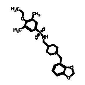 CCOc1c(C)cc(S(=O)(=O)NCC2CCN(Cc3cccc4c3OCO4)CC2)cc1C